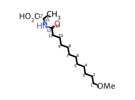 COCCCCCCCCCCCC(=O)N[C@@H](C)C(=O)O